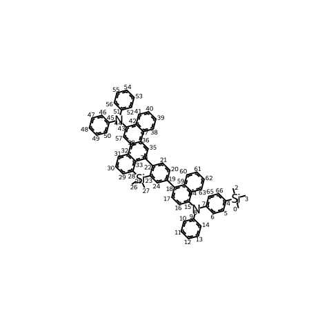 C[Si](C)(C)c1ccc(N(c2ccccc2)c2ccc(-c3ccc4c(c3)[Si](C)(C)c3cccc5c3c-4cc3c4ccccc4c(N(c4ccccc4)c4ccccc4)cc53)c3ccccc23)cc1